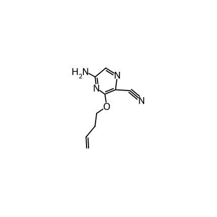 C=CCCOc1nc(N)cnc1C#N